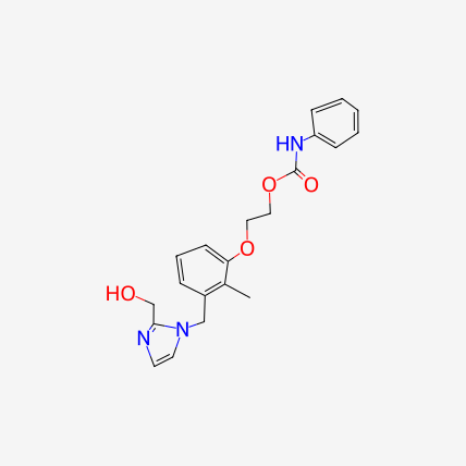 Cc1c(Cn2ccnc2CO)cccc1OCCOC(=O)Nc1ccccc1